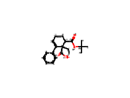 CCC1(C(=O)O)C(c2ccccc2)=CC=CC1C(=O)OC(C)(C)C